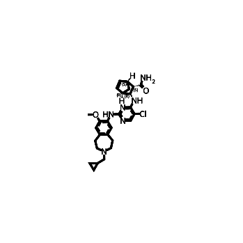 COc1cc2c(cc1Nc1ncc(Cl)c(N[C@H]3[C@@H](C(N)=O)[C@@H]4C=C[C@H]3C4)n1)CCN(CC1CC1)CC2